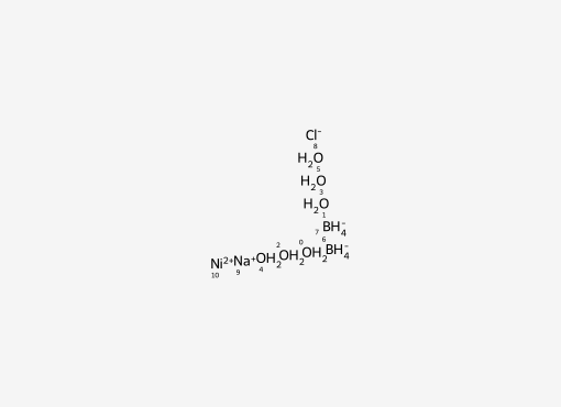 O.O.O.O.O.O.[BH4-].[BH4-].[Cl-].[Na+].[Ni+2]